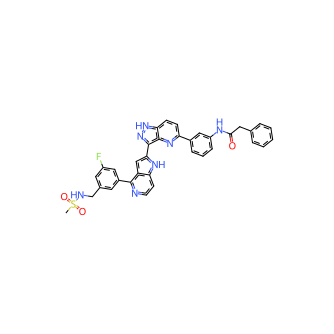 CS(=O)(=O)NCc1cc(F)cc(-c2nccc3[nH]c(-c4n[nH]c5ccc(-c6cccc(NC(=O)Cc7ccccc7)c6)nc45)cc23)c1